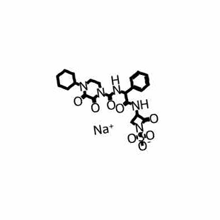 O=C(NC1CN(S(=O)(=O)[O-])C1=O)C(NC(=O)N1CCN(C2CCCCC2)C(=O)C1=O)c1ccccc1.[Na+]